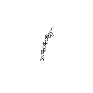 CCCCCCCC(OC(=O)CC)Oc1ccc(N=Nc2ccc(N=Nc3ccc(N(CC)CC)cc3)cc2)cc1